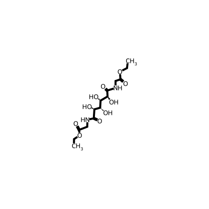 CCOC(=O)CNC(=O)[C@@H](O)[C@@H](O)[C@H](O)[C@@H](O)C(=O)NCC(=O)OCC